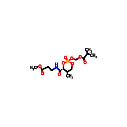 COC(=O)CCNC(=O)[C@@H]1OP(=O)(OCOC(=O)C(C)C)OCC1C